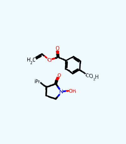 C=COC(=O)c1ccc(C(=O)O)cc1.CC(C)C1CCN(O)C1=O